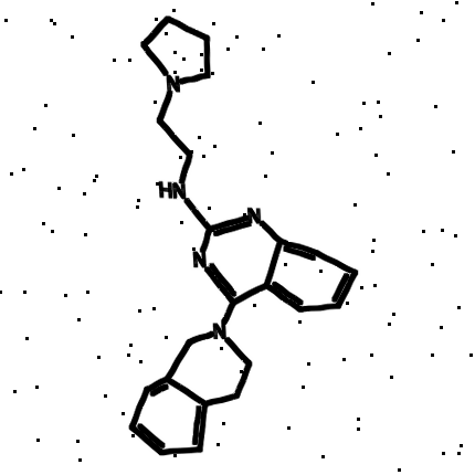 c1ccc2c(c1)CCN(c1nc(NCCN3CCCC3)nc3ccccc13)C2